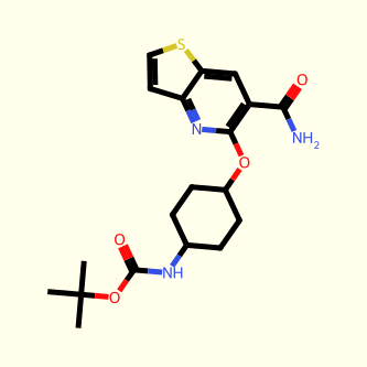 CC(C)(C)OC(=O)NC1CCC(Oc2nc3ccsc3cc2C(N)=O)CC1